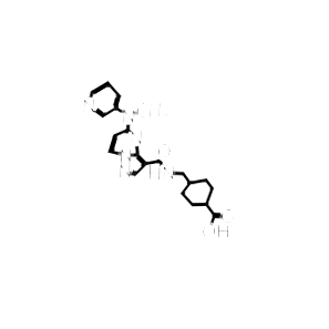 CN(c1cccnc1)c1ccn2ncc(C(=O)NCC3CCC(C(=O)O)CC3)c2n1